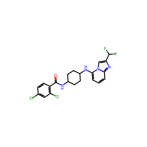 O=C(NC1CCC(Nc2cccc3nc(C(F)F)cn23)CC1)c1ccc(Cl)cc1Cl